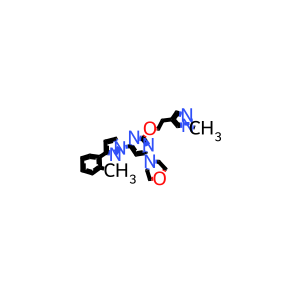 Cc1ccccc1-c1ccn(-c2cc(N3CCOCC3)nc(OCCc3cnn(C)c3)n2)n1